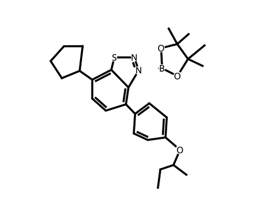 CC1(C)O[B]OC1(C)C.CCC(C)Oc1ccc(-c2ccc(C3CCCC3)c3snnc23)cc1